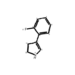 Fc1ccccc1C1=CNCC1